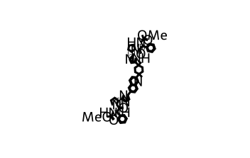 COC(=O)N[C@@H](C(=O)N1CCC[C@H]1c1nc(-c2ccc3nc(C4(C)CCC(C)(c5cnc([C@@H]6CCCN6C(=O)[C@H](NC(=O)OC)c6ccccc6)[nH]5)CC4)ccc3c2)c[nH]1)c1ccccc1